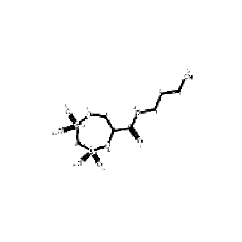 N#CCCCOC(=O)C1COS(=O)(=O)CS(=O)(=O)O1